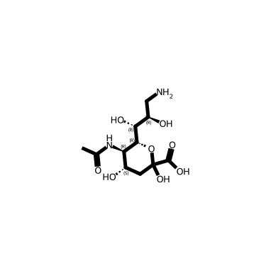 CC(=O)N[C@H]1[C@H]([C@H](O)[C@H](O)CN)OC(O)(C(=O)O)C[C@@H]1O